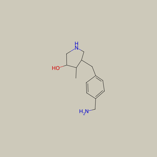 CC1C(O)CNCC1Cc1ccc(CN)cc1